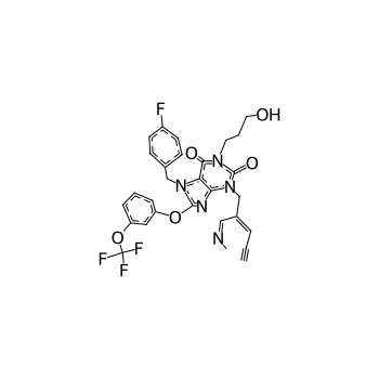 C#C/C=C(\C=N/C)Cn1c(=O)n(CCCO)c(=O)c2c1nc(Oc1cccc(OC(F)(F)F)c1)n2Cc1ccc(F)cc1